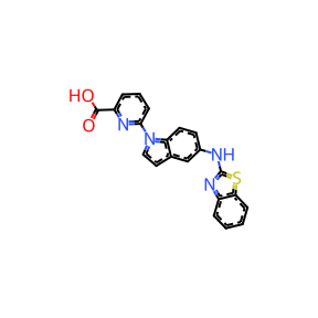 O=C(O)c1cccc(-n2ccc3cc(Nc4nc5ccccc5s4)ccc32)n1